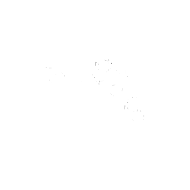 C=CC(=O)N1CC2CC(n3nc(-c4ccc(C(=Nc5cc(C)ccn5)OC)cc4)c4c(N)ncnc43)CC2C1